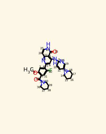 COc1cc(-c2cc(Nc3ccc(N4CCCCC4)cn3)c3c(=O)[nH]ccc3n2)c(F)cc1C(=O)N1CCCCC1